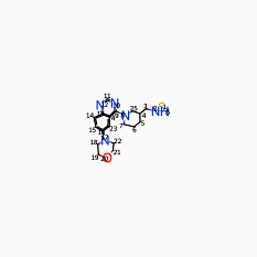 CSNCC1CCCN(c2ncnc3ccc(N4CCOCC4)cc23)C1